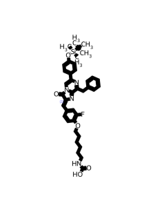 CC(C)(C)[Si](C)(C)Oc1ccc(C2=CN3C(=O)/C(=C/c4ccc(OCCCCCCNC(=O)O)c(F)c4)N=C3C(Cc3ccccc3)=N2)cc1